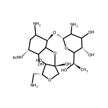 CC(=O)N[C@@H]1CC(N)[C@@H](O[C@H]2OC([C@@H](C)O)[C@@H](O)C(O)C2N)C(O[C@]2(O)CO[C@H](CN)C2O)C1O